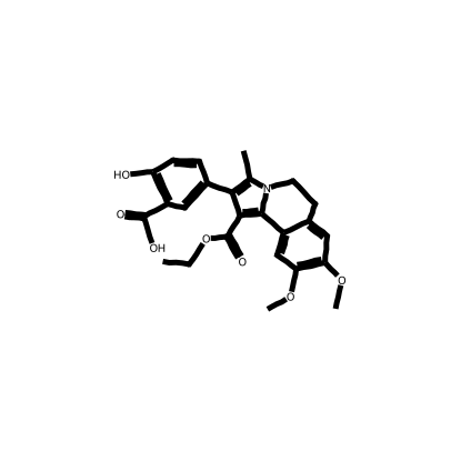 CCOC(=O)c1c(-c2ccc(O)c(C(=O)O)c2)c(C)n2c1-c1cc(OC)c(OC)cc1CC2